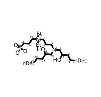 CCCCCCCCCCCCC(O)CN(CCC[N+](CC)(CC)CCCS(=O)(=O)[O-])CC(O)CCCCCCCCCCCC